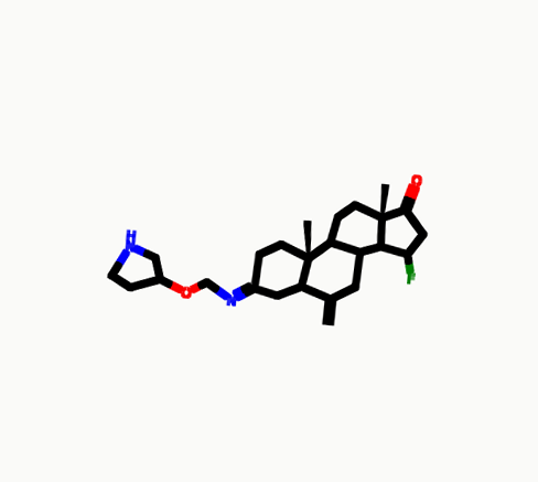 C=C1CC2C(CC[C@]3(C)C(=O)CC(F)C23)[C@@]2(C)CC/C(=N\COC3CCNC3)CC12